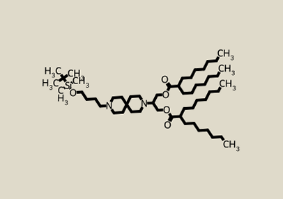 CCCCCCCC(CCCCCCC)C(=O)OCC(COC(=O)C(CCCCCCC)CCCCCCC)N1CCC2(CCN(CCCCO[Si](C)(C)C(C)(C)C)CC2)CC1